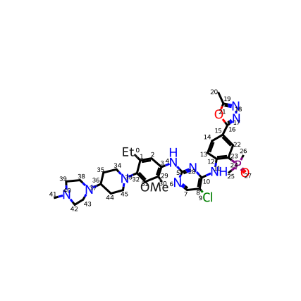 CCc1cc(Nc2ncc(Cl)c(Nc3ccc(-c4nnc(C)o4)cc3P(C)(C)=O)n2)c(OC)cc1N1CCC(N2CCN(C)CC2)CC1